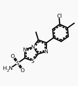 Cc1ccc(-c2nc3sc(S(N)(=O)=O)nn3c2C)cc1Cl